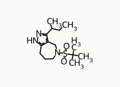 CCC(C)c1n[nH]c2c1CN(S(=O)(=O)C(C)(C)C)CCC2